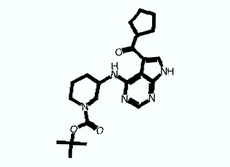 CC(C)(C)OC(=O)N1CCCC(Nc2ncnc3[nH]cc(C(=O)C4CCCC4)c23)C1